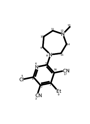 CCc1c(C#N)c(Cl)nc(N2CCCN(C)CC2)c1C#N